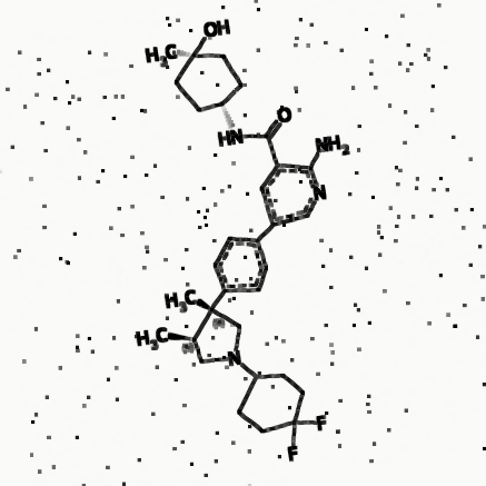 C[C@@H]1CN(C2CCC(F)(F)CC2)C[C@@]1(C)c1ccc(-c2cnc(N)c(C(=O)N[C@H]3CC[C@](C)(O)CC3)c2)cc1